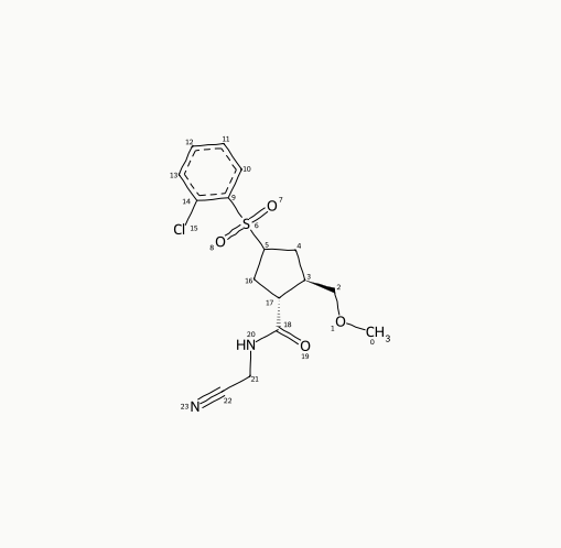 COC[C@@H]1CC(S(=O)(=O)c2ccccc2Cl)C[C@H]1C(=O)NCC#N